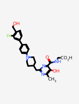 Cc1nc(CC2CCN(c3ccc(-c4ccc(CO)c(F)c4)cc3)CC2)nc(C(=O)NCC(=O)O)c1O